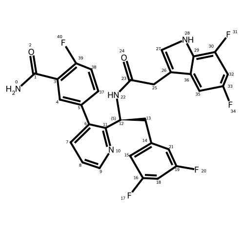 NC(=O)c1cc(-c2cccnc2[C@H](Cc2cc(F)cc(F)c2)NC(=O)Cc2c[nH]c3c(F)cc(F)cc23)ccc1F